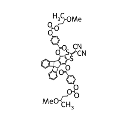 COC(C)CCOC(=O)Oc1ccc(C(=O)Oc2c3c(c(OC(=O)c4ccc(OC(=O)OCCC(C)OC)cc4)c4c2C2c5ccccc5C25c2ccccc2C45)SC(=C(C#N)C#N)S3)cc1